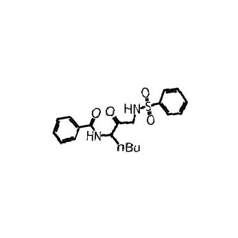 CCCCC(NC(=O)c1ccccc1)C(=O)CNS(=O)(=O)c1ccccc1